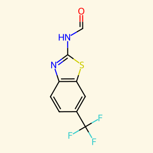 O=CNc1nc2ccc(C(F)(F)F)cc2s1